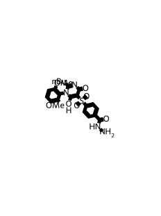 CCCCc1nc(=O)c(S(=O)(=O)c2ccc(C(=O)NN)cc2)c(O)n1-c1c(OC)cccc1OC